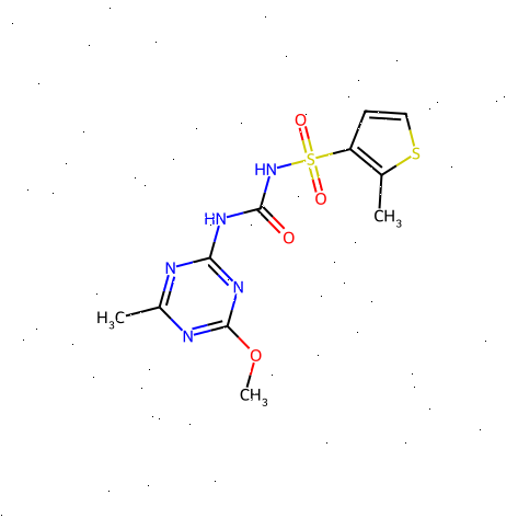 COc1nc(C)nc(NC(=O)NS(=O)(=O)c2ccsc2C)n1